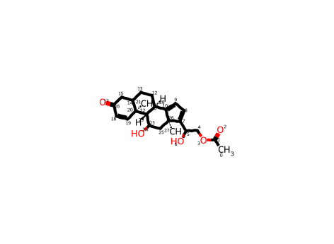 CC(=O)OCC(O)C1=CC=C2[C@@H]3CCC4CC(=O)C=C[C@]4(C)[C@H]3C(O)C[C@]12C